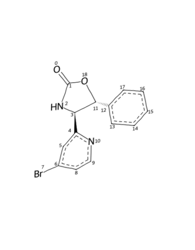 O=C1N[C@H](c2cc(Br)ccn2)[C@@H](c2ccccc2)O1